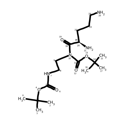 CC(C)(C)OC(=O)NCCN(C(=O)OC(C)(C)C)C(=O)[C@H](N)CCCN